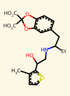 CCC(Cc1ccc2c(c1)OC(C(=O)O)(C(=O)O)O2)NCC(O)c1sccc1C